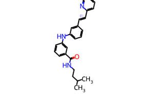 CC(C)CCNC(=O)c1cccc(Nc2cccc(/C=C/c3ccccn3)c2)c1